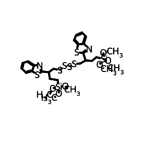 CO[Si](CCC(CSSSSCC(CC[Si](OC)(OC)OC)c1nc2ccccc2s1)c1nc2ccccc2s1)(OC)OC